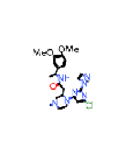 COc1ccc(C(C)NC(=O)CC2CN(C)CCN2c2cc(Cl)nc(-n3ccnc3)n2)cc1OC